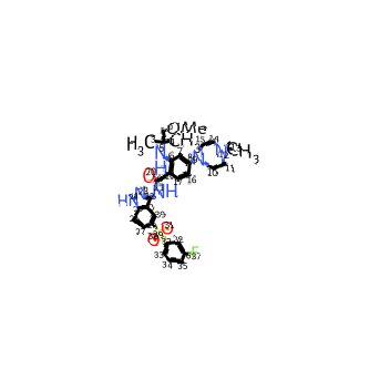 COCC(C)(C)Nc1cc(N2CCN(C)CC2)ccc1C(=O)Nc1n[nH]c2ccc(S(=O)(=O)c3cccc(F)c3)cc12